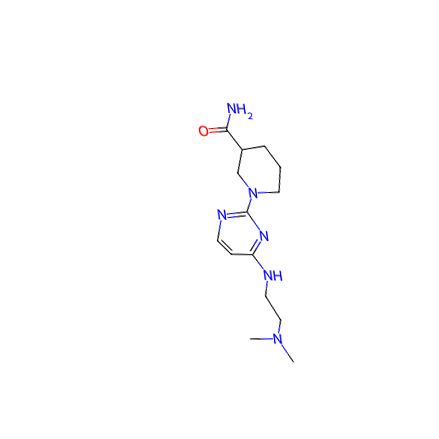 CN(C)CCNc1ccnc(N2CCCC(C(N)=O)C2)n1